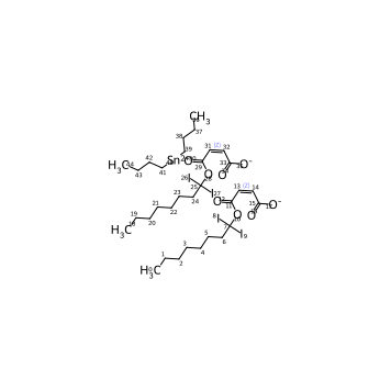 CCCCCCCC(I)(I)OC(=O)/C=C\C(=O)[O-].CCCCCCCC(I)(I)OC(=O)/C=C\C(=O)[O-].CCC[CH2][Sn+2][CH2]CCC